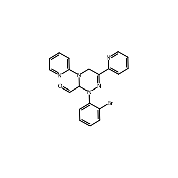 O=CC1N(c2ccccn2)CC(c2ccccn2)=NN1c1ccccc1Br